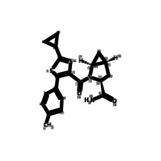 Cc1ccc(-c2sc(C3CC3)nc2C(=O)N2[C@H](C(N)=O)C[C@@H]3C[C@@H]32)cc1